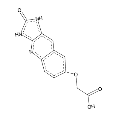 O=C(O)COc1ccc2nc3[nH]c(=O)[nH]c3cc2c1